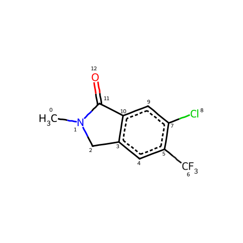 CN1Cc2cc(C(F)(F)F)c(Cl)cc2C1=O